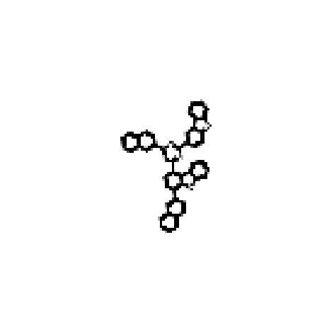 C1=CC2Oc3ccccc3C2C=C1c1nc(-c2ccc3ccccc3c2)nc(-c2ccc(-c3ccc4ccccc4c3)c3oc4ccccc4c23)n1